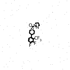 O=C(N1CCC(c2ccc(F)c(F)c2C(F)(F)F)CC1)N1CCC=N1